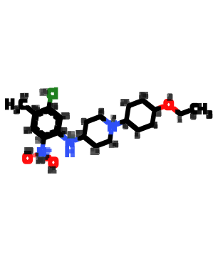 CCOC1CCC(N2CCC(Nc3cc(Cl)c(C)cc3[N+](=O)[O-])CC2)CC1